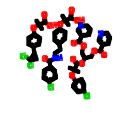 CC(C)(Oc1ccc(C2CC2(Cl)Cl)cc1)C(=O)O.CC(C)(Oc1ccc(CCNC(=O)c2ccc(Cl)cc2)cc1)C(=O)O.CC(C)(Oc1ccc(Cl)cc1)C(=O)OC(COC(=O)c1cccnc1)COC(=O)c1cccnc1